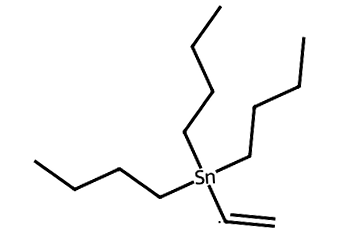 C=[C][Sn]([CH2]CCC)([CH2]CCC)[CH2]CCC